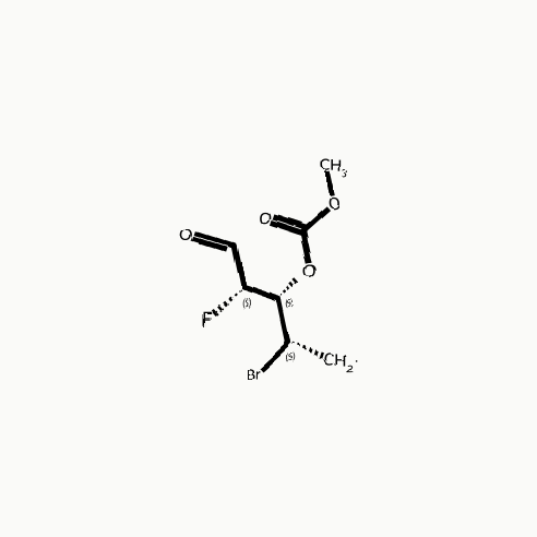 [CH2][C@H](Br)[C@@H](OC(=O)OC)[C@H](F)C=O